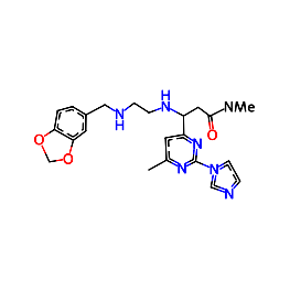 CNC(=O)CC(NCCNCc1ccc2c(c1)OCO2)c1cc(C)nc(-n2ccnc2)n1